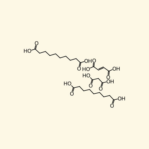 O=C(O)C=CC(=O)O.O=C(O)CC(=O)O.O=C(O)CCCCCCCC(=O)O.O=C(O)CCCCCCCCC(=O)O